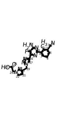 Cc1c(C#N)cccc1-c1nc(N)c(F)c(-c2cn(Cc3ccn(CC(=O)O)n3)nn2)n1